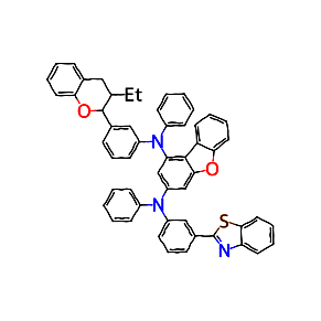 CCC1Cc2ccccc2OC1c1cccc(N(c2ccccc2)c2cc(N(c3ccccc3)c3cccc(-c4nc5ccccc5s4)c3)cc3oc4ccccc4c23)c1